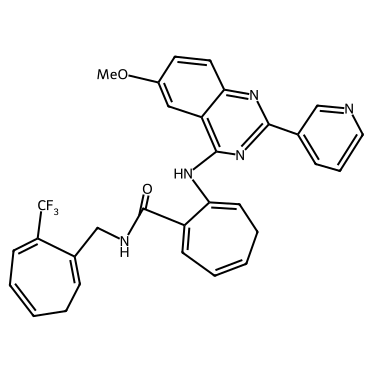 COc1ccc2nc(-c3cccnc3)nc(NC3=CCC=CC=C3C(=O)NCC3=CCC=CC=C3C(F)(F)F)c2c1